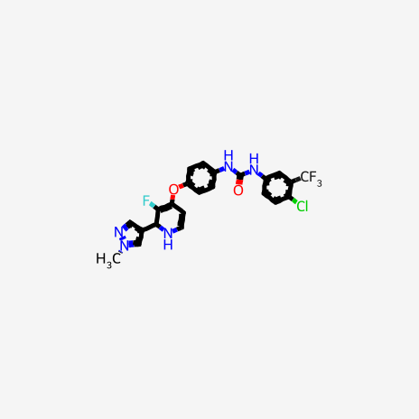 Cn1cc(C2NC=CC(Oc3ccc(NC(=O)Nc4ccc(Cl)c(C(F)(F)F)c4)cc3)=C2F)cn1